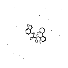 CN(Cc1ccccc1C1CCCCN1C)C(=O)Cc1cccc2occc12